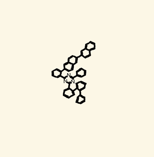 c1ccc(-c2nc(-c3ccccc3-c3ccc4cc(-c5ccc6ccccc6c5)ccc4c3)nc(-c3ccccc3-c3ccccc3-c3ccccc3)n2)cc1